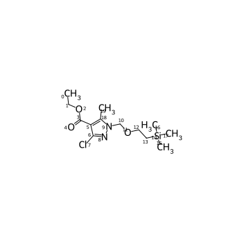 CCOC(=O)c1c(Cl)nn(COCC[Si](C)(C)C)c1C